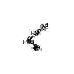 CSCCC(=O)NCCOC(=O)NCCCCCOP(=O)(S)C(C)(C)OCCCOP(=O)(S)C(C)(C)C